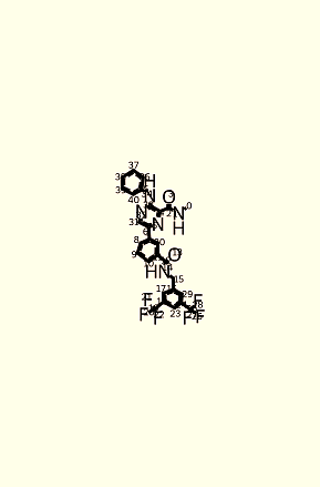 CNC(=O)c1nc(-c2cccc(C(=O)NCc3cc(C(F)(F)F)cc(C(F)(F)F)c3)c2)cnc1Nc1ccccc1